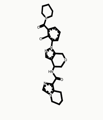 O=C(NC1COCc2c1cnn2-c1cccc(C(=O)N2CCCCC2)c1Cl)c1ncn2c1CCCC2